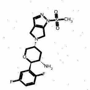 CS(=O)(=O)n1ncc2c1CN([C@H]1CO[C@H](c3cc(F)ccc3F)[C@@H](N)C1)C2